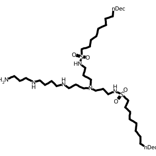 CCCCCCCCCCCCCCCCCCS(=O)(=O)NCCCN(CCCNCCCCNCCCN)CCCNS(=O)(=O)CCCCCCCCCCCCCCCCCC